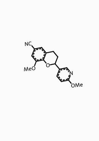 COc1ccc(C2CCc3cc(C#N)cc(OC)c3O2)cn1